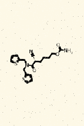 N#C[C@H](CCCCOC(N)=O)C(=O)N(Cc1cccs1)Cc1cccs1